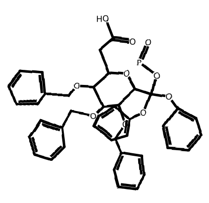 O=POC(Oc1ccccc1)(Oc1ccccc1)C1OC(CC(=O)O)C(OCc2ccccc2)C(OCc2ccccc2)C1OCc1ccccc1